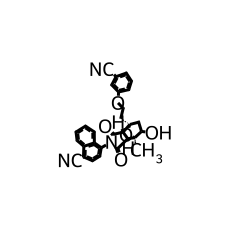 C[C@]12O[C@](CCOc3cccc(C#N)c3)(CC1O)[C@H]1C(=O)N(c3ccc(C#N)c4ccccc34)C(=O)[C@H]12